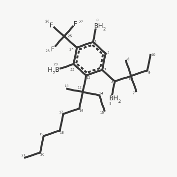 Bc1cc(C(B)C(C)(C)CC)c(C(C)(CC)CCCCCC)c(B)c1C(F)(F)F